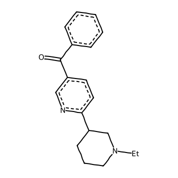 CCN1CCCC(c2ccc(C(=O)c3ccccc3)cn2)C1